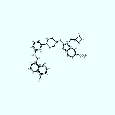 O=C(O)c1ccc2nc(CN3CCC(c4cccc(OCc5cccc6c(Cl)ccnc56)n4)CC3)n(CC3CCO3)c2c1